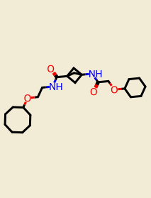 O=C(COC1CCCCC1)NC12CC(C(=O)NCCOC3CCCCCCC3)(C1)C2